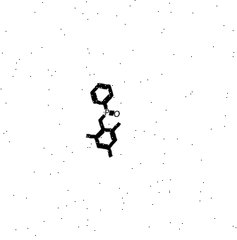 Cc1cc(C)c(C[P](=O)c2ccccc2)c(C)c1